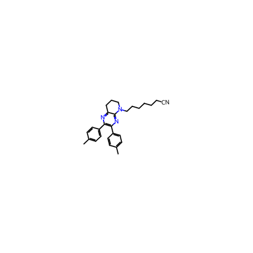 Cc1ccc(-c2nc3c(nc2-c2ccc(C)cc2)N(CCCCCCC#N)CCC3)cc1